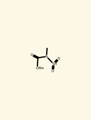 COC(=O)N(C)[SH](=O)=O